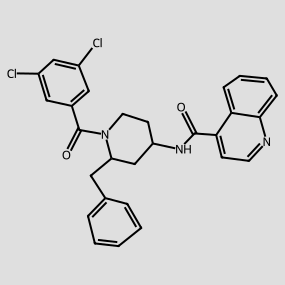 O=C(NC1CCN(C(=O)c2cc(Cl)cc(Cl)c2)C(Cc2ccccc2)C1)c1ccnc2ccccc12